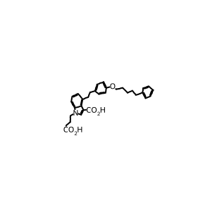 O=C(O)CCCn1cc(C(=O)O)c2c(CCc3ccc(OCCCCCc4ccccc4)cc3)cccc21